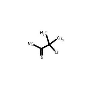 CCC(C)(C)C(=S)C#N